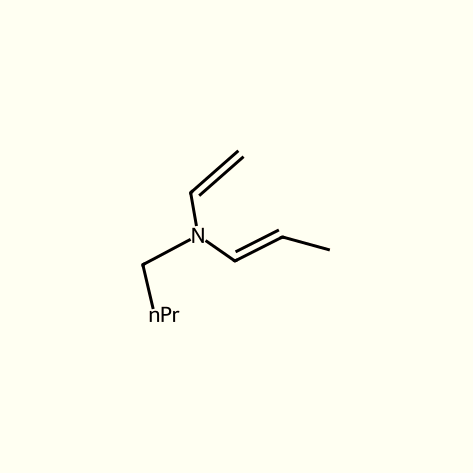 C=CN(C=CC)CCCC